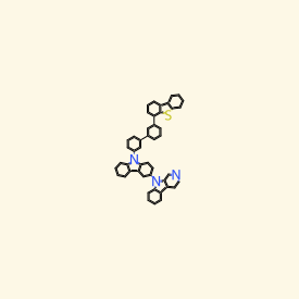 c1cc(-c2cccc(-n3c4ccccc4c4cc(-n5c6ccccc6c6ccncc65)ccc43)c2)cc(-c2cccc3c2sc2ccccc23)c1